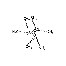 C=CCCCCCCCSc1cc2c3cc(SCCCCCCCC)c(SCCCCCCCC)cc3c3cc(SCCCCCCCC)c(SCCCCCCCC)cc3c2cc1SCCCCCCCC